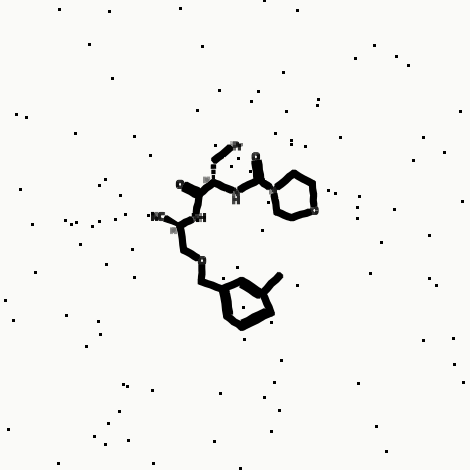 Cc1cccc(COC[C@@H](C#N)NC(=O)[C@H](CC(C)C)NC(=O)N2CCOCC2)c1